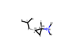 CC(C)C[C@H]1C[C@@]1(C)N(C)C